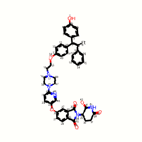 CCC(=C(c1ccc(O)cc1)c1ccc(OCCN2CCN(c3ccc(Oc4ccc5c(c4)C(=O)N(C4CCC(=O)NC4=O)C5=O)cn3)CC2)cc1)c1ccccc1